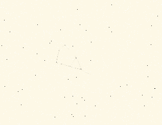 O=C(O)C1C2CCCC21